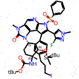 Cn1cc(-c2c(-c3ccc(CCCI)cc3)c3c(ncc4c3n([C@H]3CC[C@@](C)(NC(=O)OC(C)(C)C)[C@H](O[Si](C)(C)C(C)(C)C)C3)c(=O)n4C)n2S(=O)(=O)c2ccccc2)c(F)n1